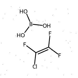 FC(F)=C(F)Cl.OB(O)O